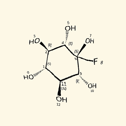 O[C@@H]1[C@@H](O)[C@H](O)[C@](O)(F)[C@H](O)[C@H]1O